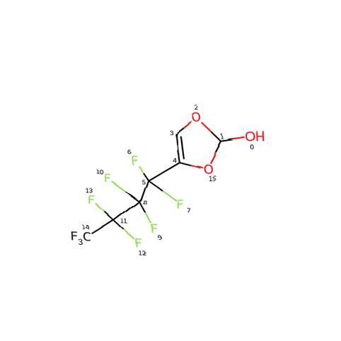 OC1OC=C(C(F)(F)C(F)(F)C(F)(F)C(F)(F)F)O1